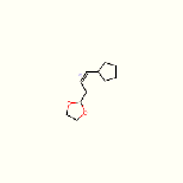 C(=C/C1CCCC1)/CC1OCCO1